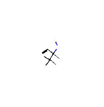 C=CC(NCC)(C(C)CC)C(C)(C)[SiH3]